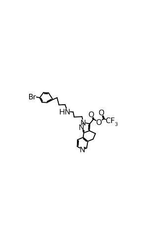 O=C(OC(=O)C(F)(F)F)c1c2c(nn1CCCNCCCc1ccc(Br)cc1)-c1ccncc1CC2